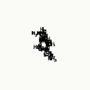 CO[C@H]1[C@H]2OP(=O)(O)OC[C@H]3O[C@@H](c4scc5c(N)ncnc45)C[C@]3(F)OP(=O)(O)OC[C@H]1O[C@H]2n1cnc2c(=O)[nH]c(N)nc21